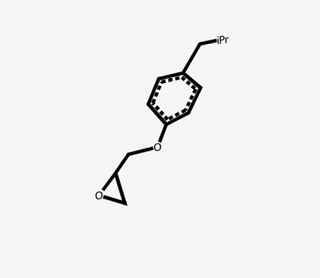 CC(C)Cc1ccc(OCC2CO2)cc1